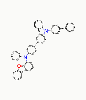 c1ccc(-c2ccc(-n3c4ccccc4c4cc(-c5ccc(N(c6ccccc6)c6cccc7c6oc6ccccc67)cc5)ccc43)cc2)cc1